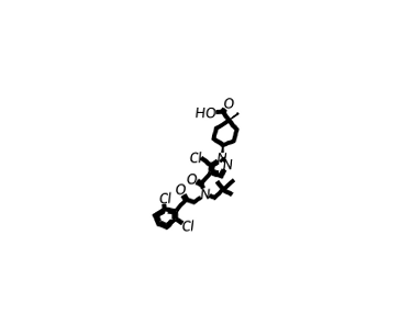 CC(C)(C)CN(CC(=O)c1c(Cl)cccc1Cl)C(=O)c1cnn([C@H]2CC[C@](C)(C(=O)O)CC2)c1Cl